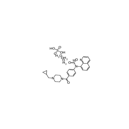 O.O.O.O=C(c1ccc(N(c2cccc3cccnc23)[SH](=O)=O)cc1)N1CCN(CC2CC2)CC1.O=S(=O)(O)O